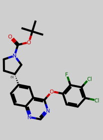 CC(C)(C)OC(=O)N1CC[C@@H](c2ccc3ncnc(Oc4ccc(Cl)c(Cl)c4F)c3c2)C1